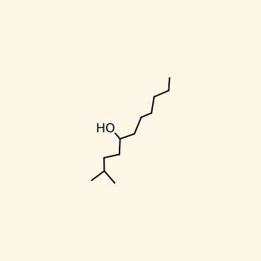 CCCCCCC(O)CCC(C)C